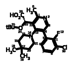 Cc1ncc(-c2cccc(Cl)c2F)c(N2CCC(C)(C)CC2)c1[C@H](OC(C)(C)C)C(=O)O